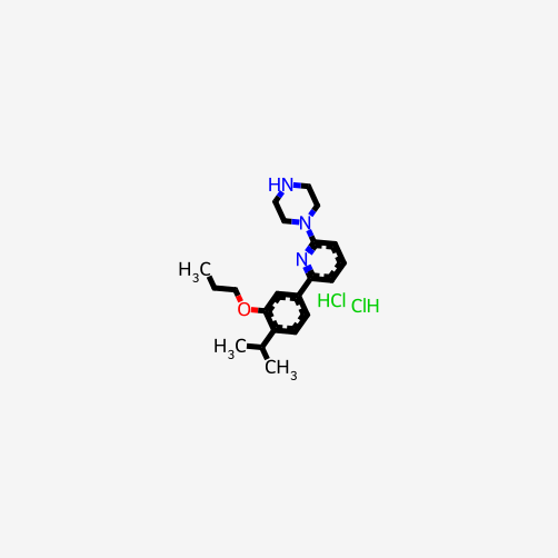 CCCOc1cc(-c2cccc(N3CCNCC3)n2)ccc1C(C)C.Cl.Cl